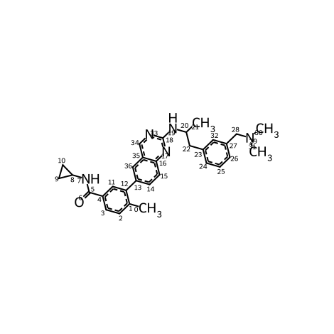 Cc1ccc(C(=O)NC2CC2)cc1-c1ccc2nc(NC(C)Cc3cccc(CN(C)C)c3)ncc2c1